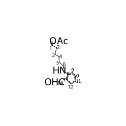 CC(=O)OCCCCCCNc1ccccc1C=O